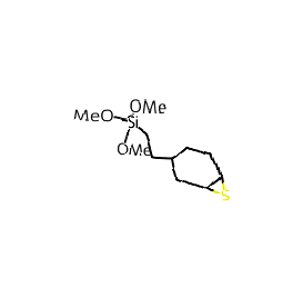 CO[Si](CCC1CCC2SC2C1)(OC)OC